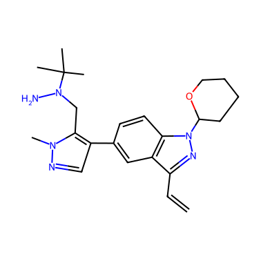 C=Cc1nn(C2CCCCO2)c2ccc(-c3cnn(C)c3CN(N)C(C)(C)C)cc12